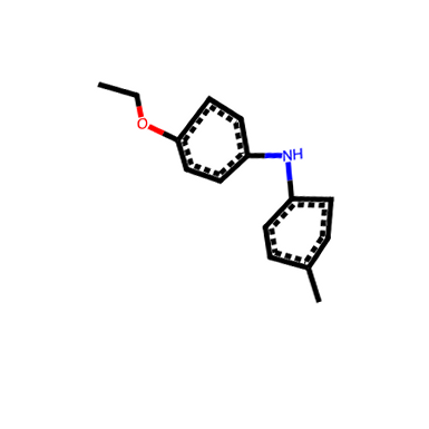 CCOc1ccc(Nc2ccc(C)cc2)cc1